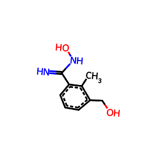 Cc1c(CO)cccc1C(=N)NO